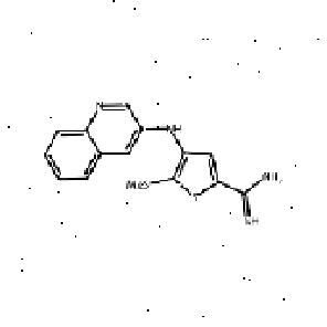 CSc1sc(C(=N)N)cc1Nc1cnc2ccccc2c1